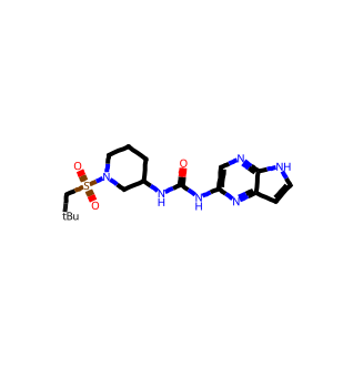 CC(C)(C)CS(=O)(=O)N1CCCC(NC(=O)Nc2cnc3[nH]ccc3n2)C1